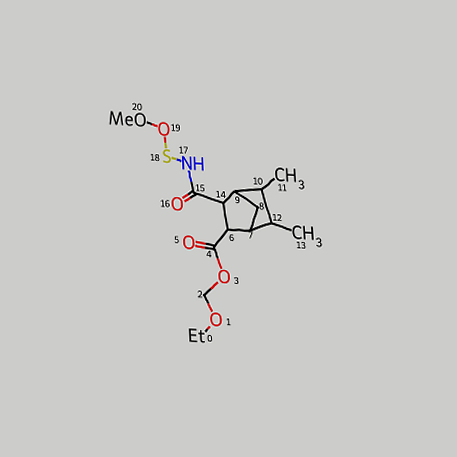 CCOCOC(=O)C1C2CC(C(C)C2C)C1C(=O)NSOOC